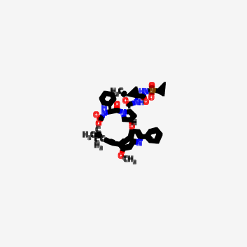 C=C[C@@H]1C[C@]1(NC(=O)[C@@H]1C[C@@H]2CN1C(=O)[C@H](C1CCCCC1)NC(=O)OCC(C)(C)C/C=C\c1cc3c(cc(-c4ccccc4)nc3cc1OC)O2)C(=O)NS(=O)(=O)C1CC1